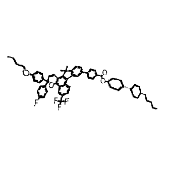 CCCCC[C@H]1CC[C@H](C2CCC(OC(=O)c3ccc(-c4ccc5c(c4)-c4c(c6c(c7cc(C(F)(F)F)ccc47)OC(c4ccc(F)cc4)(c4ccc(OCCCC)cc4)C=C6)C5(C)C)cc3)CC2)CC1